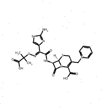 CC(C)(ON=C(C(=O)N[C@@H]1C(=O)N2C(C(=O)O)=C(C[n+]3ccccc3)CS[C@H]12)c1c[se]c(N)n1)C(=O)O